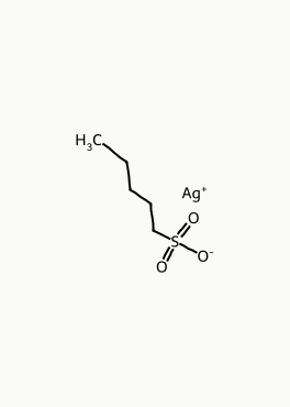 CCCCCS(=O)(=O)[O-].[Ag+]